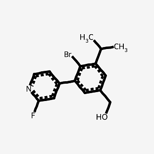 CC(C)c1cc(CO)cc(-c2ccnc(F)c2)c1Br